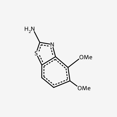 COc1ccc2sc(N)nc2c1OC